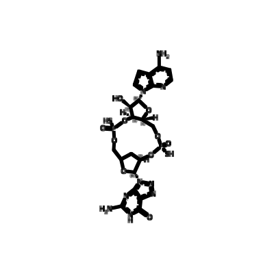 Nc1nc2c(nnn2[C@@H]2OC3COP(=O)(S)O[C@H]4[C@@H](O)[C@H](n5ccc6c(N)ccnc65)O[C@@H]4COP(=O)(S)O[C@@H]2C3)c(=O)[nH]1